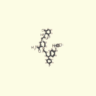 Cl.Cl.NC(=O)C1CN(CC(=O)Nc2c(Cl)cccc2Cl)CCN1CCCC(c1ccc(F)cc1)c1ccc(F)cc1.O